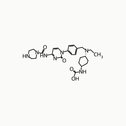 CCN(Cc1ccc(-n2ccc(NC(=O)N3CCNCC3)nc2=O)cc1)[C@H]1CC[C@H](NC(=O)O)CC1